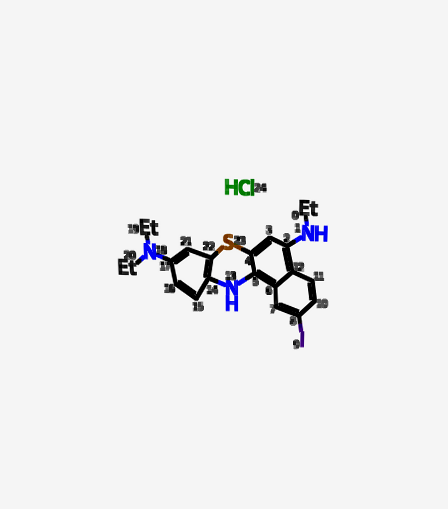 CCNc1cc2c(c3cc(I)ccc13)Nc1ccc(N(CC)CC)cc1S2.Cl